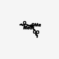 CC=CC(=O)OCCC[Si](CCCOC(=O)C=CC)(OC)OC